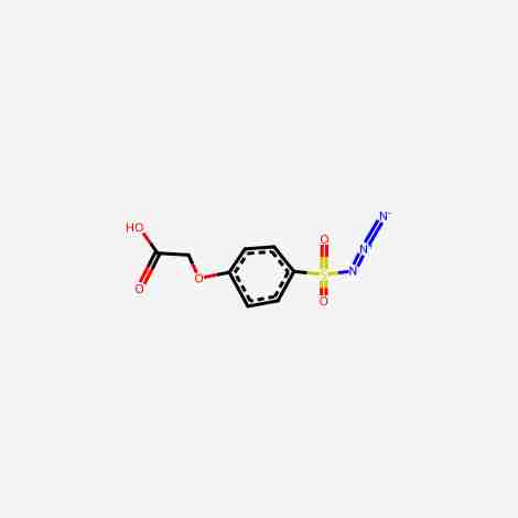 [N-]=[N+]=NS(=O)(=O)c1ccc(OCC(=O)O)cc1